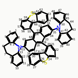 c1ccc2c(c1)CCc1ccccc1N2c1ccc2c(-c3cccc4sc5ccccc5c34)c3cc(N4c5ccccc5CCc5ccccc54)ccc3c(-c3cccc4sc5ccccc5c34)c2c1